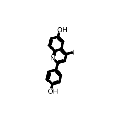 Oc1ccc(-c2cc(I)c3cc(O)ccc3n2)cc1